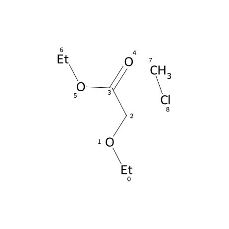 CCOCC(=O)OCC.CCl